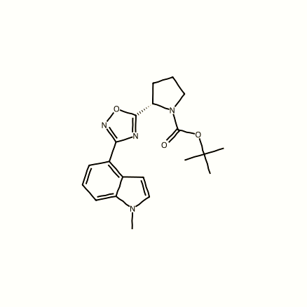 Cn1ccc2c(-c3noc([C@@H]4CCCN4C(=O)OC(C)(C)C)n3)cccc21